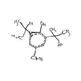 CCCC(C)(C)c1cc(C=O)cc(C(C)(C)CC)c1O